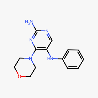 Nc1ncc(Nc2ccccc2)c(N2CCOCC2)n1